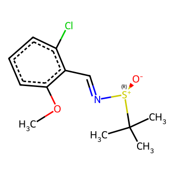 COc1cccc(Cl)c1C=N[S@@+]([O-])C(C)(C)C